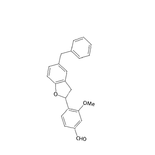 COc1cc(C=O)ccc1C1Cc2cc(Cc3ccccc3)ccc2O1